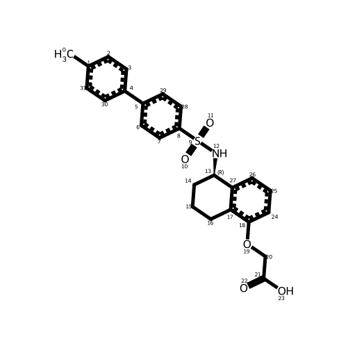 Cc1ccc(-c2ccc(S(=O)(=O)N[C@@H]3CCCc4c(OCC(=O)O)cccc43)cc2)cc1